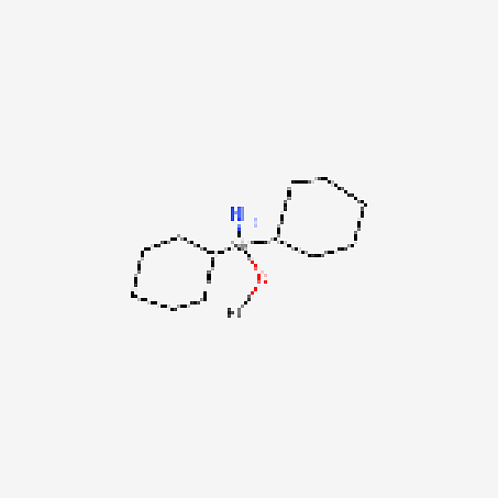 CCO[Si](N)(C1CCCCC1)C1CCCCC1